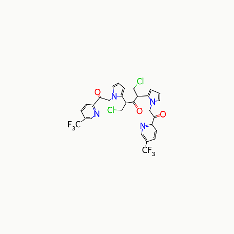 O=C(Cn1cccc1C(CCl)C(=O)C(CCl)c1cccn1CC(=O)c1ccc(C(F)(F)F)cn1)c1ccc(C(F)(F)F)cn1